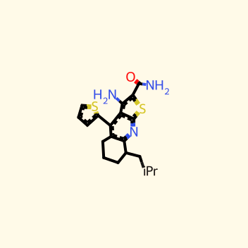 CC(C)CC1CCCc2c1nc1sc(C(N)=O)c(N)c1c2-c1cccs1